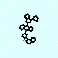 c1ccc(-c2cc(-c3c4ccccc4c(-c4ccc5oc6ccc7ccccc7c6c5c4)c4ccccc34)cc3ccccc23)cc1